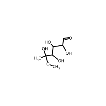 COC(C)(O)C(O)C(O)C(O)C=O